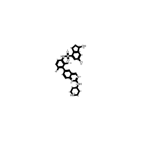 O=S(=O)(Nc1ccc(F)c(-c2ccc3nc(NC4CCNCC4)ncc3c2)c1F)c1cc(Cl)cc2c1CCC2O